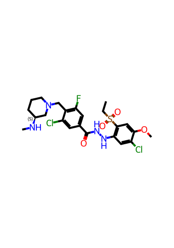 CCS(=O)(=O)c1cc(OC)c(Cl)cc1NNC(=O)c1cc(F)c(CN2CCC[C@H](NC)C2)c(Cl)c1